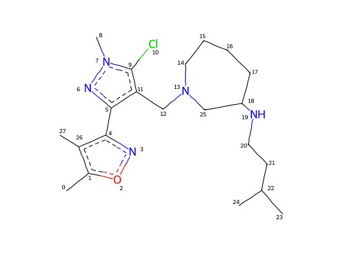 Cc1onc(-c2nn(C)c(Cl)c2CN2CCCCC(NCCC(C)C)C2)c1C